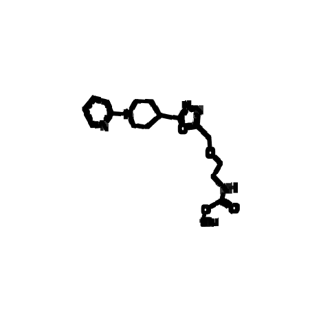 CC(C)(C)OC(=O)NCCOCc1nnc(C2CCN(c3ccccn3)CC2)o1